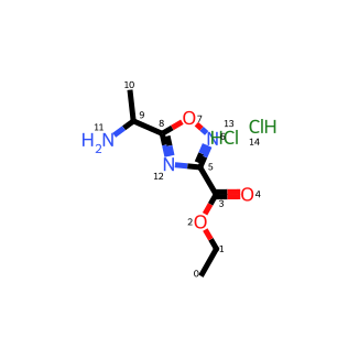 CCOC(=O)c1noc(C(C)N)n1.Cl.Cl